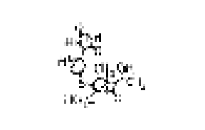 C[C@@H](O)[C@H]1C(=O)N2C(C(=O)O)=C(S[C@@H]3CN[C@H](C4NC(=O)NC4=O)C3)[C@H](C)[C@H]12